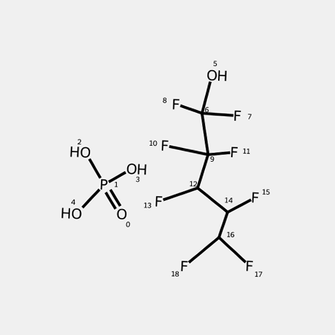 O=P(O)(O)O.OC(F)(F)C(F)(F)C(F)C(F)C(F)F